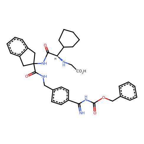 N=C(NC(=O)OCc1ccccc1)c1ccc(CNC(=O)C2(NC(=O)[C@H](NCC(=O)O)C3CCCCC3)Cc3ccccc3C2)cc1